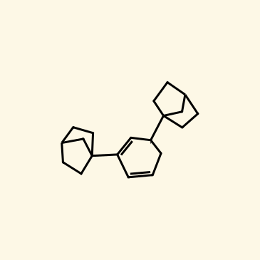 C1=CC(C23CCC(CC2)C3)=C[C](C23CCC(CC2)C3)C1